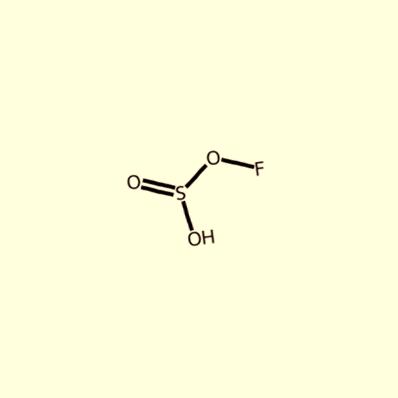 O=S(O)OF